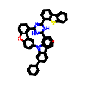 c1ccc(-c2ccc3c4ccccc4n(-c4ccc5oc6cccc(C7N=C(c8cccc9c8sc8ccccc89)NC(c8ccccc8)N7)c6c5c4)c3c2)cc1